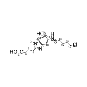 Cl.Cn1c(CCCC(=O)O)nc2cc(NOCCCCCl)ccc21